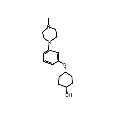 CN1CCN(c2cc[c]c(N[C@H]3CC[C@H](O)CC3)c2)CC1